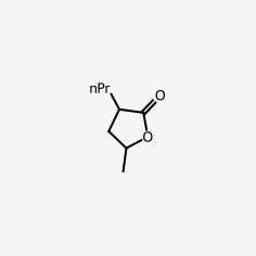 CCCC1CC(C)OC1=O